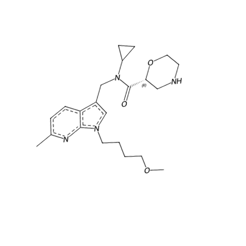 COCCCCn1cc(CN(C(=O)[C@H]2CNCCO2)C2CC2)c2ccc(C)nc21